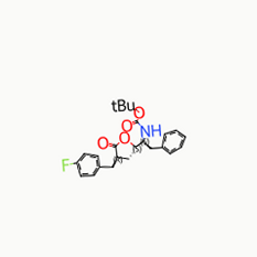 CC(C)(C)OC(=O)N[C@@H](Cc1ccccc1)[C@@H]1C[C@@H](Cc2ccc(F)cc2)C(=O)O1